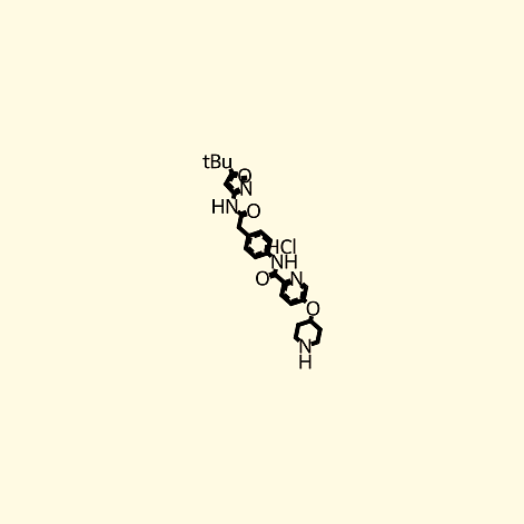 CC(C)(C)c1cc(NC(=O)Cc2ccc(NC(=O)c3ccc(OC4CCNCC4)cn3)cc2)no1.Cl